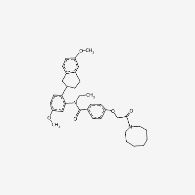 CCN(C(=O)c1ccc(OCC(=O)N2CCCCCCC2)cc1)c1cc(OC)ccc1C1CCc2cc(OC)ccc2C1